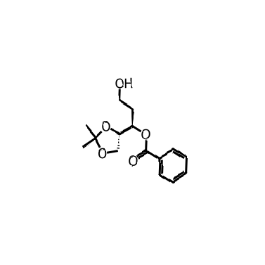 CC1(C)OC[C@@H]([C@@H](CCO)OC(=O)c2ccccc2)O1